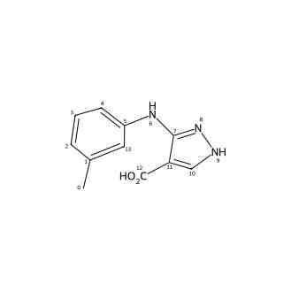 Cc1cccc(Nc2n[nH]cc2C(=O)O)c1